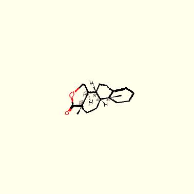 C[C@]12CCCC=C1CC[C@@H]1[C@@H]2CC[C@]2(C)C(=O)OC[C@@H]12